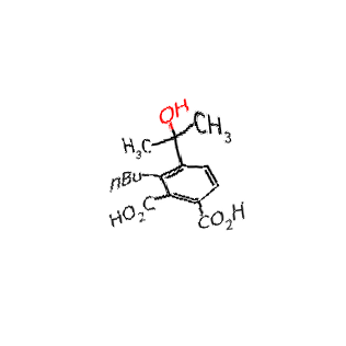 CCCCc1c(C(C)(C)O)ccc(C(=O)O)c1C(=O)O